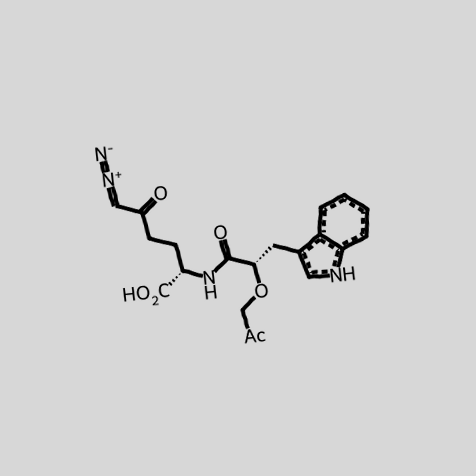 CC(=O)CO[C@@H](Cc1c[nH]c2ccccc12)C(=O)N[C@@H](CCC(=O)C=[N+]=[N-])C(=O)O